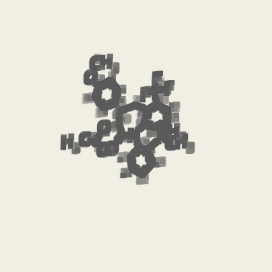 COc1ccc([C@@H]2Cc3c(cccc3C(F)(F)F)N(c3ccccc3N(C)C)C(=O)[C@@H]2OC(C)=O)cc1